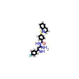 N=C(/C=C(\N)NC(=O)c1ccc(SN2CCCc3ccccc32)cc1)c1ccc(F)cc1